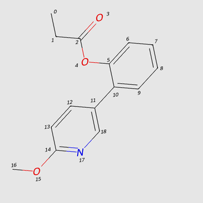 CCC(=O)Oc1ccccc1-c1ccc(OC)nc1